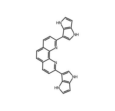 c1cc2[nH]cc(-c3ccc4ccc5ccc(-c6c[nH]c7cc[nH]c67)nc5c4n3)c2[nH]1